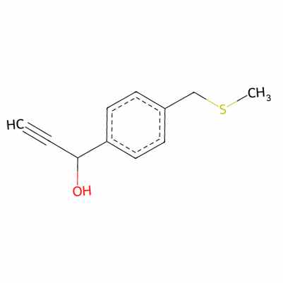 C#CC(O)c1ccc(CSC)cc1